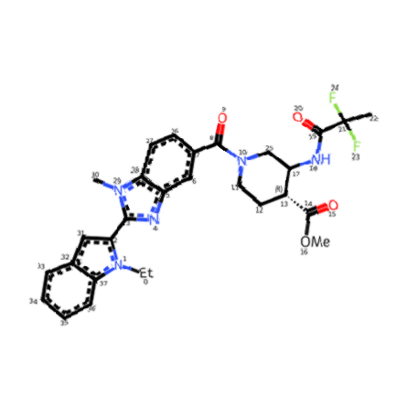 CCn1c(-c2nc3cc(C(=O)N4CC[C@@H](C(=O)OC)C(NC(=O)C(C)(F)F)C4)ccc3n2C)cc2ccccc21